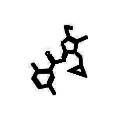 Cc1ccc(C)c(C(=O)/N=c2\sc(C(C)(C)C)c(C)n2CC2CC2)c1